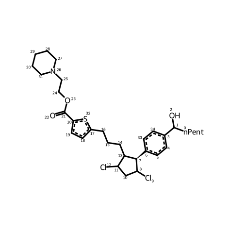 CCCCCC(O)c1ccc([C@H]2C(Cl)CC(Cl)C2CCCc2ccc(C(=O)OCCN3CCCCC3)s2)cc1